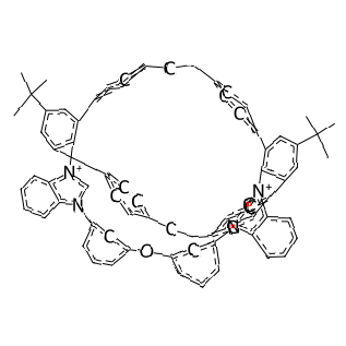 CC(C)(C)c1cc2c3c(c1)-c1ccc(cc1)CCc1ccc(cc1)-c1cc(C(C)(C)C)cc(c1-[n+]1cn(c4ccccc41)-c1cccc(c1)Oc1cccc(c1)-n1c[n+]-3c3ccccc31)-c1ccc(cc1)CCc1ccc-2cc1